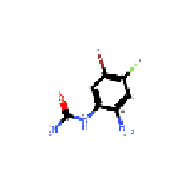 NC(=O)Nc1cc(Br)c(F)cc1N